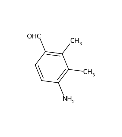 Cc1c(N)ccc(C=O)c1C